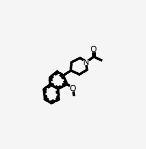 COc1c(C2CCN(C(C)=O)CC2)ccc2ccccc12